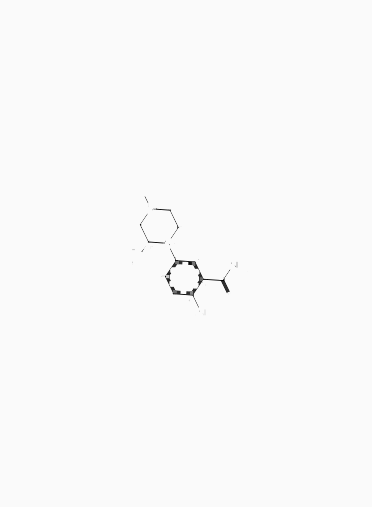 CCN1CCN(c2ccc(N)c(C(N)=O)c2)[C@@H](C)C1